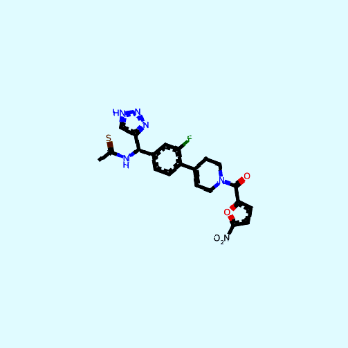 CC(=S)NC(c1ccc(C2=CCN(C(=O)c3ccc([N+](=O)[O-])o3)CC2)c(F)c1)c1c[nH]nn1